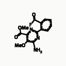 COC(=O)c1nc(-c2ccccc2C(=O)F)nc(N)c1OC